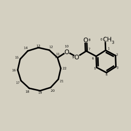 Cc1ccccc1C(=O)OO[C]1CCCCCCCCCCC1